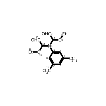 CCOC(C=O)N(c1cc(C(Cl)(Cl)Cl)cc(C(Cl)(Cl)Cl)c1)C(C=O)OCC